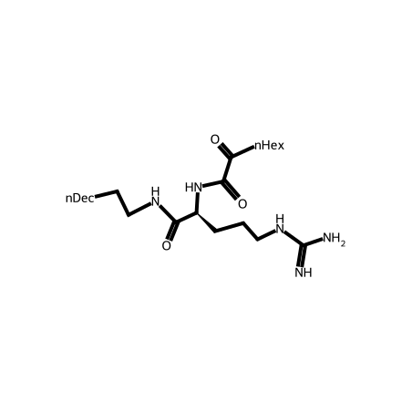 CCCCCCCCCCCCNC(=O)[C@H](CCCNC(=N)N)NC(=O)C(=O)CCCCCC